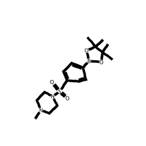 CN1CCN(S(=O)(=O)c2ccc(B3OC(C)(C)C(C)(C)O3)cc2)CC1